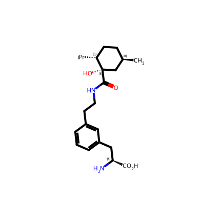 CC(C)[C@@H]1CC[C@@H](C)C[C@@]1(O)C(=O)NCCc1cccc(C[C@H](N)C(=O)O)c1